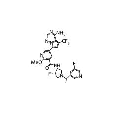 COc1ncc(-c2cc(C(F)(F)F)c3c(N)ncnn23)cc1C(=O)N[C@@H]1CN(C(C)c2cncc(F)c2)C[C@@H]1F